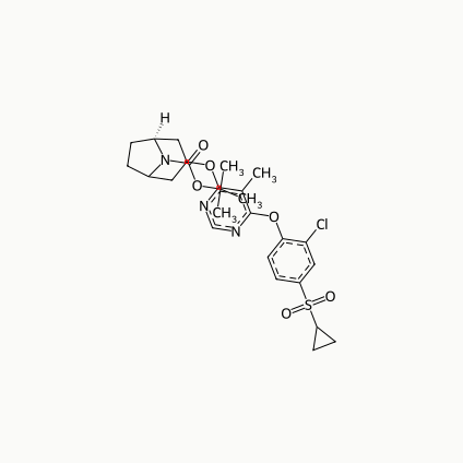 Cc1c(Oc2ccc(S(=O)(=O)C3CC3)cc2Cl)ncnc1OC1CC2CC[C@@H](C1)N2C(=O)OC(C)(C)C